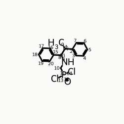 C[C@@H](c1ccccc1)[C@@H](NCP(=O)(Cl)Cl)c1ccccc1